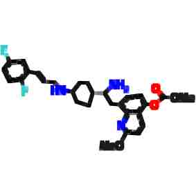 COC(=O)Oc1ccc(CC(N)[C@H]2CC[C@H](NC/C=C/c3cc(F)ccc3F)CC2)c2nc(OC)ccc12